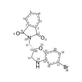 O=C1c2ccccc2C(=O)N1C[C@H]1CNc2cc(Br)ccc2O1